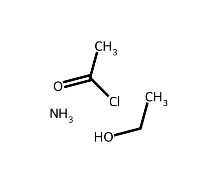 CC(=O)Cl.CCO.N